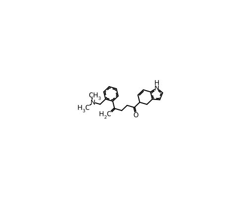 C=C(CCC(=O)C1C=Cc2[nH]ccc2C1)c1ccccc1CN(C)C